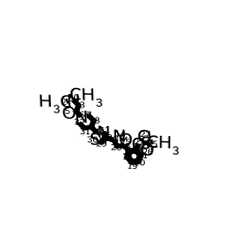 CN(C)CC(=O)N1CCC(c2nc(C3=NOC(c4ccccc4OS(C)(=O)=O)C3)cs2)CC1